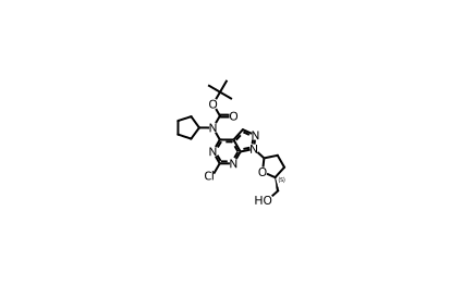 CC(C)(C)OC(=O)N(c1nc(Cl)nc2c1cnn2C1CC[C@@H](CO)O1)C1CCCC1